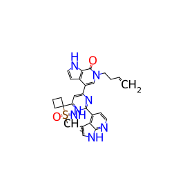 C=CCCn1cc(-c2cc(C3(S(C)(=N)=O)CCC3)nc(-c3ccnc4[nH]ccc34)n2)c2cc[nH]c2c1=O